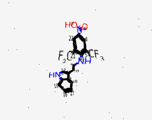 O=[N+](O)c1cc(C(F)(F)F)c(NCCc2c[nH]c3ccccc23)c(C(F)(F)F)c1